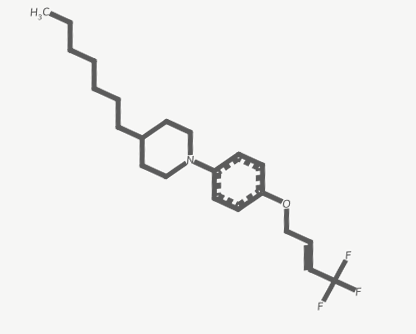 CCCCCCCC1CCN(c2ccc(OC/C=C/C(F)(F)F)cc2)CC1